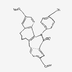 COc1ccc2c(c1)CCc1c-2n(-c2ccc(O)cc2)c(=O)c2cc(OC)ccc12